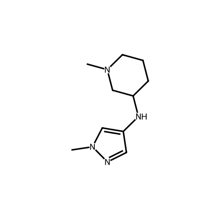 CN1CCCC(Nc2cnn(C)c2)C1